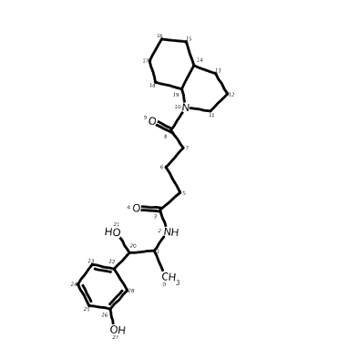 CC(NC(=O)CCCC(=O)N1CCCC2CCCCC21)C(O)c1cccc(O)c1